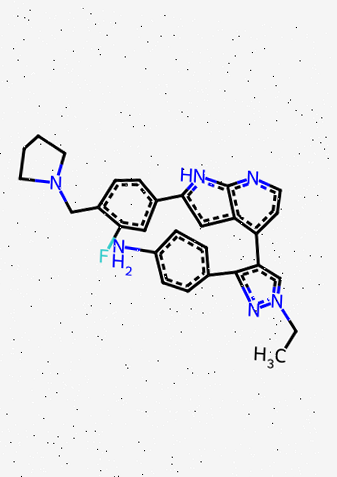 CCn1cc(-c2ccnc3[nH]c(-c4ccc(CN5CCCC5)c(F)c4)cc23)c(-c2ccc(N)cc2)n1